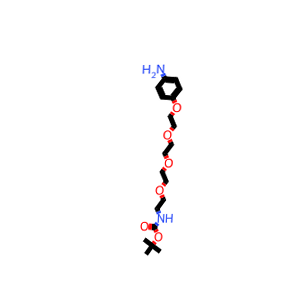 CC(C)(C)OC(=O)NCCOCCOCCOCCOc1ccc(N)cc1